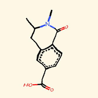 CC1Cc2cc(C(=O)O)ccc2C(=O)N1C